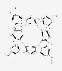 CC(C)Cc1ccc([C@H]2c3cc(c(O)cc3O)[C@@H](c3ccc(CC(C)C)cc3)c3cc(c(O)cc3O)[C@@H](c3ccc(CC(C)C)cc3)c3cc(c(O)cc3O)[C@@H](c3ccc(CC(C)C)cc3)c3cc2c(O)cc3O)cc1